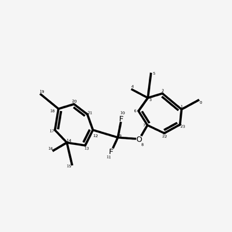 CC1=CC(C)(C)C=C(OC(F)(F)C2=CC(C)(C)C=C(C)C=C2)C=C1